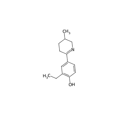 CCc1cc(C2=NCC(C)CC2)ccc1O